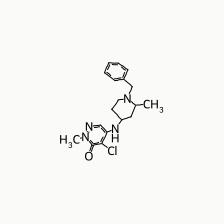 CC1CC(Nc2cnn(C)c(=O)c2Cl)CCN1Cc1ccccc1